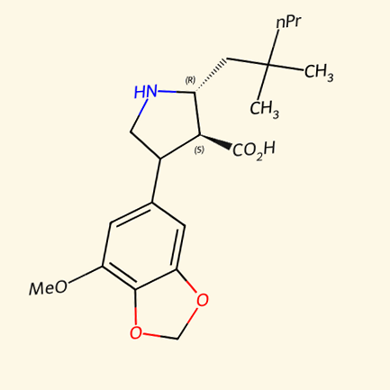 CCCC(C)(C)C[C@H]1NCC(c2cc(OC)c3c(c2)OCO3)[C@@H]1C(=O)O